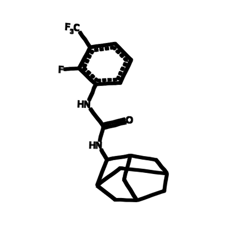 O=C(Nc1cccc(C(F)(F)F)c1F)NC1C2CC3CC(C2)CC1C3